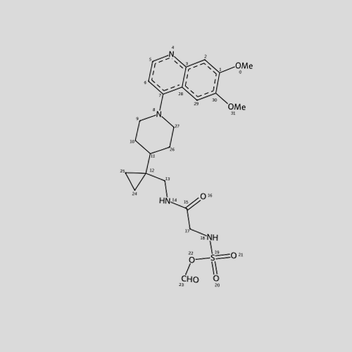 COc1cc2nccc(N3CCC(C4(CNC(=O)CNS(=O)(=O)OC=O)CC4)CC3)c2cc1OC